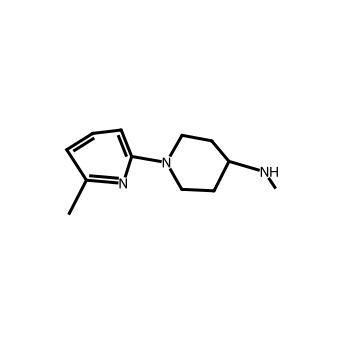 CNC1CCN(c2cccc(C)n2)CC1